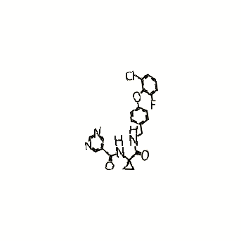 O=C(NC1(C(=O)NCc2ccc(Oc3c(F)cccc3Cl)cc2)CC1)c1cncnc1